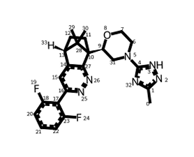 Cc1n[nH]c(N2CCO[C@H](C34CC[C@@H](c5cc(-c6c(F)cccc6F)nnc53)C4(C)C)C2)n1